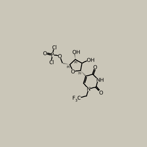 O=c1[nH]c(=O)n(CC(F)(F)F)cc1[C@@H]1O[C@H](COP(=O)(Cl)Cl)[C@H](O)C1O